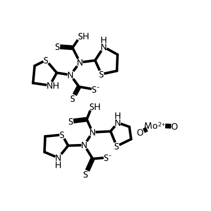 S=C([S-])N(C1NCCS1)N(C(=S)S)C1NCCS1.S=C([S-])N(C1NCCS1)N(C(=S)S)C1NCCS1.[O]=[Mo+2]=[O]